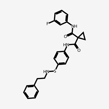 O=C(Nc1ccc(SNCCc2ccccc2)cc1)C1(C(=O)Nc2cccc(F)c2)CC1